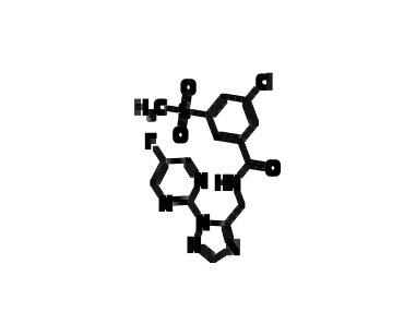 CS(=O)(=O)c1cc(Cl)cc(C(=O)NCc2ncnn2-c2ncc(F)cn2)c1